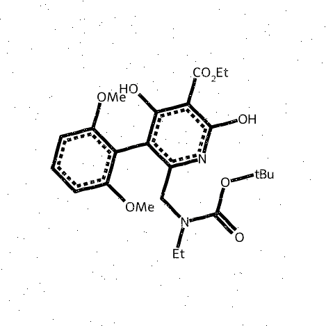 CCOC(=O)c1c(O)nc(CN(CC)C(=O)OC(C)(C)C)c(-c2c(OC)cccc2OC)c1O